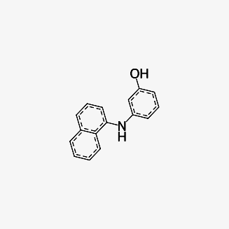 Oc1cccc(Nc2cccc3ccccc23)c1